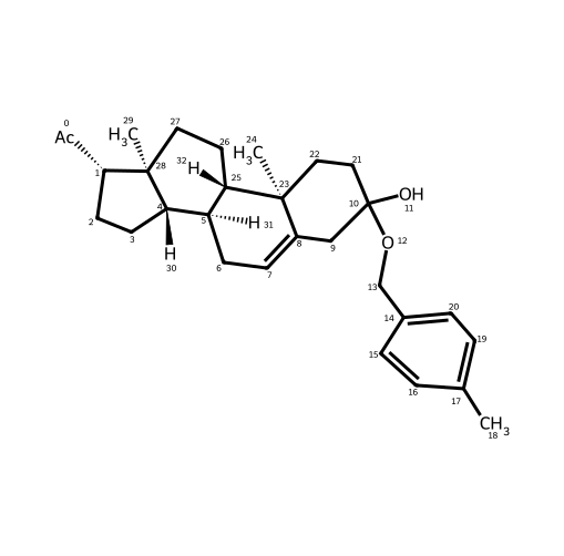 CC(=O)[C@H]1CC[C@H]2[C@@H]3CC=C4CC(O)(OCc5ccc(C)cc5)CC[C@]4(C)[C@H]3CC[C@]12C